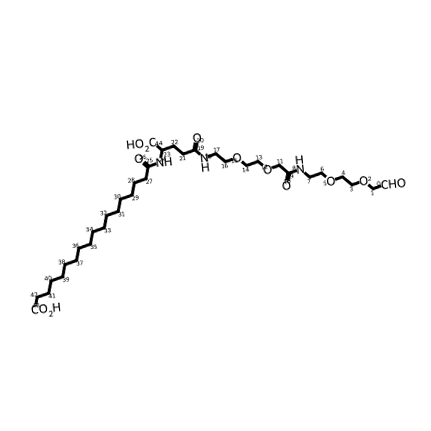 O=CCOCCOCCNC(=O)COCCOCCNC(=O)CCC(NC(=O)CCCCCCCCCCCCCCCCC(=O)O)C(=O)O